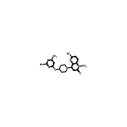 Cc1cc(OC2CCN(c3cc(=O)n(C)c4ccc(C#N)nc34)CC2)nc(C(C)C)n1